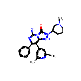 Cc1cc(-c2c(-c3ccccc3)nc(N)[n+]3c(=O)n(C4CCCN(C)C4)[nH]c23)cc(C)n1